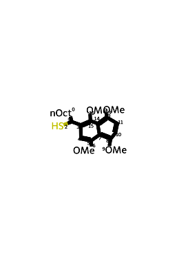 CCCCCCCCC(S)c1cc(OC)c2c(OC)ccc(OC)c2c1OC